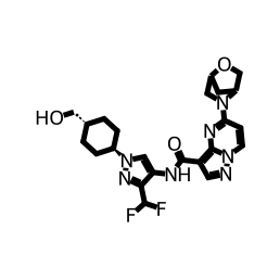 O=C(Nc1cn([C@H]2CC[C@H](CO)CC2)nc1C(F)F)c1cnn2ccc(N3CC4CC3CO4)nc12